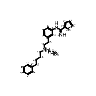 Br.Br.N=C(Nc1cccc(CCNCCCCc2ccccc2)c1)c1cccs1